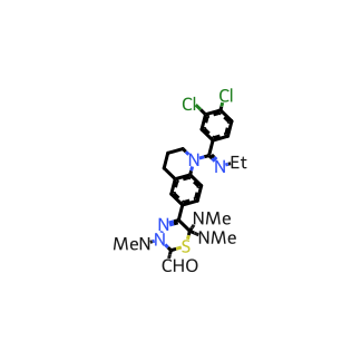 CCN=C(c1ccc(Cl)c(Cl)c1)N1CCCc2cc(C3=NN(NC)C(C=O)SC3(NC)NC)ccc21